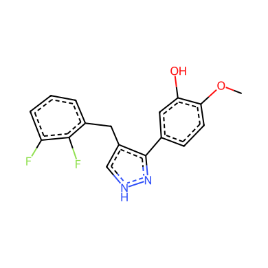 COc1ccc(-c2n[nH]cc2Cc2cccc(F)c2F)cc1O